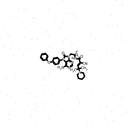 C[C@@H](Cn1c(=O)n(-c2ccc(Oc3ccccc3)cc2)c2c(N)ncnc21)NC(=O)C(C#N)=CC(C)(C)N1CCCCC1